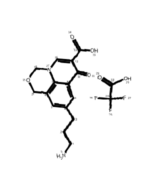 NCCCc1cc2c3c(c1)c(=O)c(C(=O)O)cn3COC2.O=C(O)C(F)(F)F